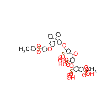 COc1cc2cc(Oc3ccc(C(=O)c4ccc(COc5ccc(C6(c7ccc(Oc8ccc(S(=O)(=O)c9ccc(C)cc9)cc8)cc7)c7ccccc7-c7ccccc76)cc5)c(SOOO)c4)cc3S(=O)(=O)O)c(SOOO)cc2cc1S(=O)(=O)O